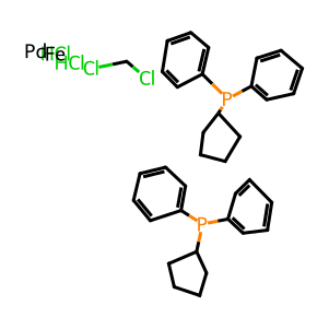 Cl.Cl.ClCCl.[Fe].[Pd].c1ccc(P(c2ccccc2)C2CCCC2)cc1.c1ccc(P(c2ccccc2)C2CCCC2)cc1